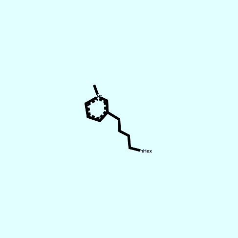 CCCCCCCCCCc1ccc[n+](C)c1